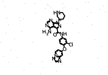 Nc1ncnc2c1c(C(=O)Nc1ccc(Oc3ccn4ncnc4c3)c(Cl)c1)nn2[C@@H]1CCCNC1